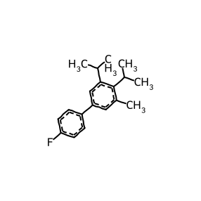 Cc1cc(-c2ccc(F)cc2)cc(C(C)C)c1C(C)C